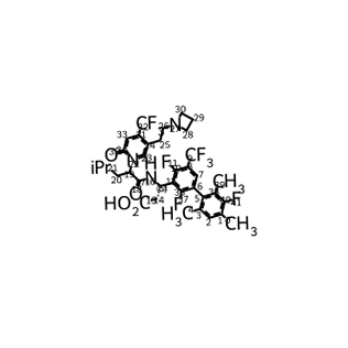 Cc1cc(C)c(-c2cc(C(F)(F)F)c(F)c([C@H](CC(=O)O)NC(=O)C(CC(C)C)n3cc(CCN4CCC4)c(C(F)(F)F)cc3=O)c2F)c(C)c1F